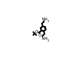 CC(C)(C)OC(=O)c1cc(CCN)ccc1CCN